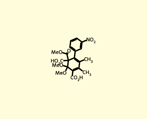 COC(=O)C1(C(=O)O)C(c2cccc([N+](=O)[O-])c2)=C(C)C(C)=C(C(=O)O)C1(OC)OC